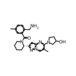 Cc1ccc(CN)c(C(=O)N2CCCC[C@H]2c2cc3nc(N4CCC(O)C4)c(C)cn3n2)c1